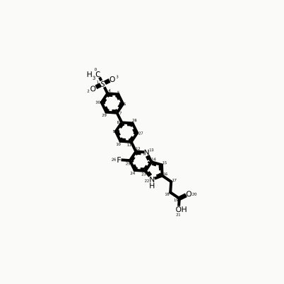 CS(=O)(=O)c1ccc(-c2ccc(-c3nc4cc(CCC(=O)O)[nH]c4cc3F)cc2)cc1